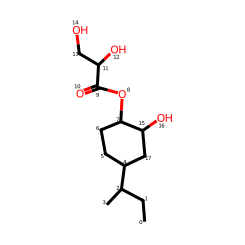 CCC(C)C1CCC(OC(=O)C(O)CO)C(O)C1